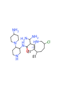 CC/C1=C(\C(C(=O)NC2CNCCC2N2CCC(N)CC2)C(N)N)NCC(Cl)CCC1CC